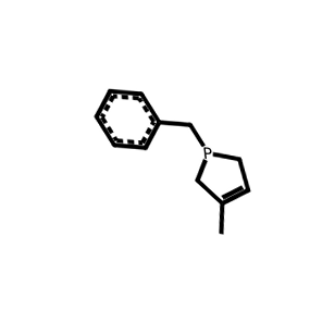 CC1=CCP(Cc2ccccc2)C1